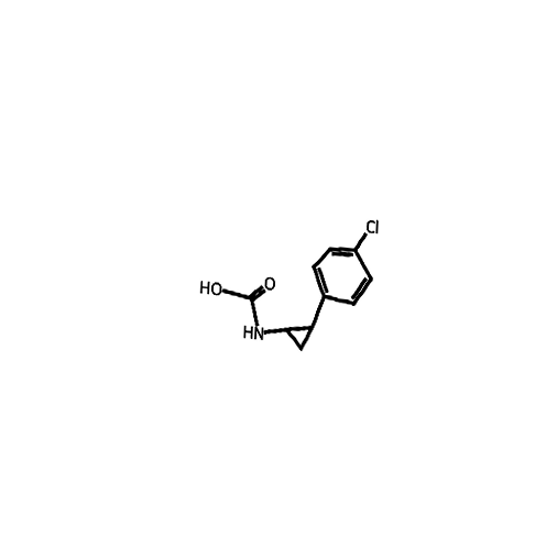 O=C(O)NC1CC1c1ccc(Cl)cc1